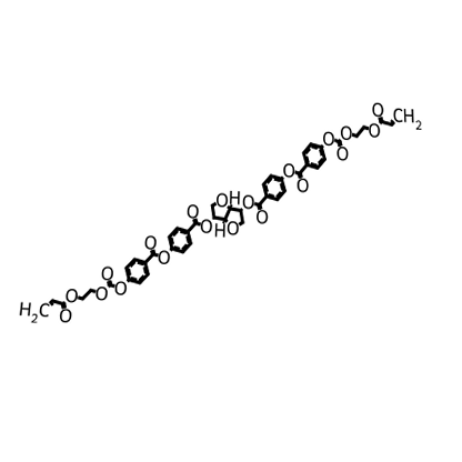 C=CC(=O)OCCOC(=O)Oc1ccc(C(=O)Oc2ccc(C(=O)O[C@H]3CO[C@H]4[C@@H]3OC[C@H]4OC(=O)c3ccc(OC(=O)c4ccc(OC(=O)OCCOC(=O)C=C)cc4)cc3)cc2)cc1